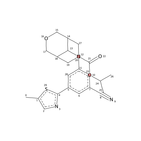 Cc1cnc(-c2cc(C#N)cc(OC3C4COCC3CN(C(=O)OC(C)C)C4)c2)s1